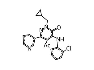 CC(=O)c1c(-c2cccnc2)nn(CC2CC2)c(=O)c1Nc1ccccc1Cl